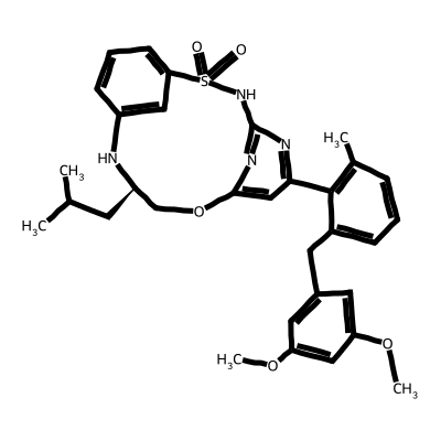 COc1cc(Cc2cccc(C)c2-c2cc3nc(n2)NS(=O)(=O)c2cccc(c2)N[C@H](CC(C)C)CO3)cc(OC)c1